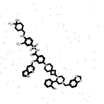 CC(C)c1ccccc1C1CN(Cc2ccc3c(c2)OCO3)CCN1C1CC2(CCN(c3ccc(C(=O)NS(=O)(=O)c4ccc(NCC5CCC(C)(O)CC5)c([N+](=O)[O-])c4)c(Oc4cnc5[nH]ccc5c4)c3)CC2)C1